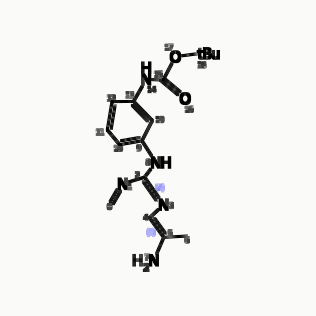 C=N/C(=N\C=C(/C)N)Nc1cccc(NC(=O)OC(C)(C)C)c1